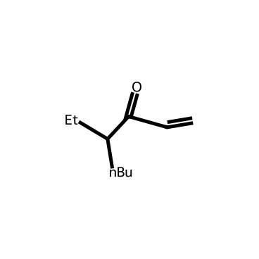 C=CC(=O)C(CC)CCCC